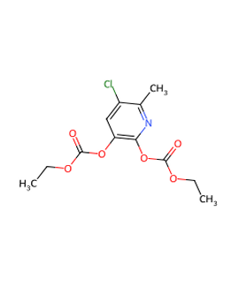 CCOC(=O)Oc1cc(Cl)c(C)nc1OC(=O)OCC